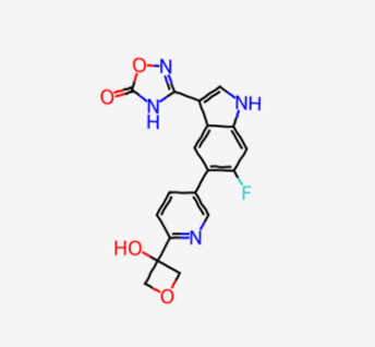 O=c1[nH]c(-c2c[nH]c3cc(F)c(-c4ccc(C5(O)COC5)nc4)cc23)no1